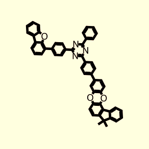 CC1(C)c2ccccc2-c2c1ccc1c2Oc2ccc(-c3ccc(-c4nc(-c5ccccc5)nc(-c5ccc(-c6cccc7c6oc6ccccc67)cc5)n4)cc3)cc2O1